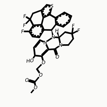 COC(=O)OCOC1=C2C(=O)N3CCC(F)(F)C[C@H]3N([C@@H]3c4ccccc4-c4scc5c4-c4c3ccc(F)c4C(F)(F)C5)N2C=CC1O